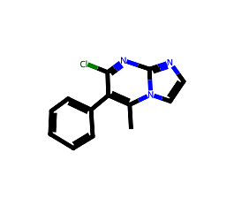 Cc1c(-c2ccccc2)c(Cl)nc2nccn12